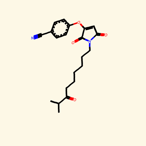 CC(C)C(=O)CCCCCCN1C(=O)C=C(Oc2ccc(C#N)cc2)C1=O